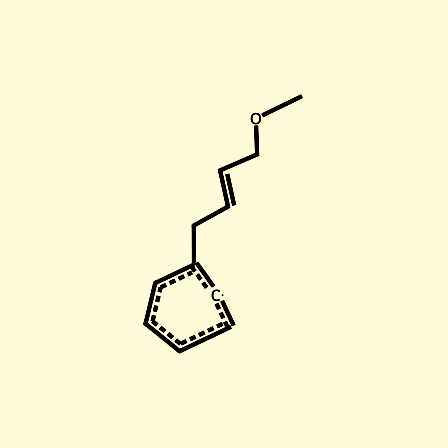 COCC=CCc1[c]cccc1